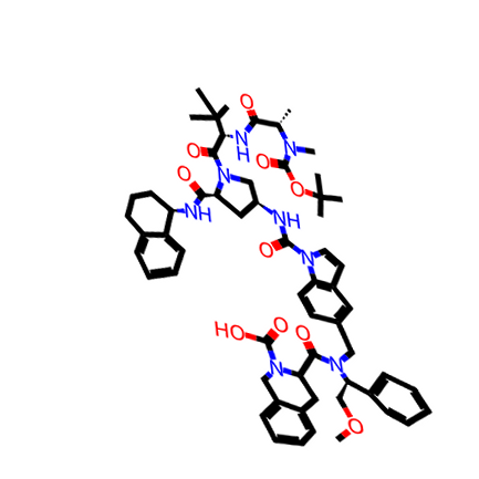 COC[C@H](c1ccccc1)N(Cc1ccc2c(ccn2C(=O)N[C@H]2C[C@@H](C(=O)N[C@@H]3CCCc4ccccc43)N(C(=O)[C@@H](NC(=O)[C@H](C)N(C)C(=O)OC(C)(C)C)C(C)(C)C)C2)c1)C(=O)C1Cc2ccccc2CN1C(=O)O